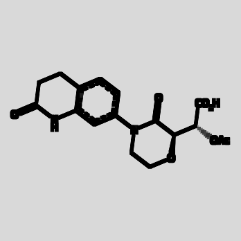 CC(=O)O[C@@H](C(=O)O)[C@H]1OCCN(c2ccc3c(c2)NC(=O)CC3)C1=O